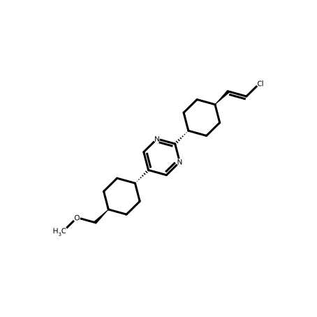 COC[C@H]1CC[C@H](c2cnc([C@H]3CC[C@H](/C=C/Cl)CC3)nc2)CC1